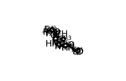 CN(c1ccc2[nH]c3ncc(-c4ccc(C(=O)NCCN5CCOCC5)cc4)c(-c4ccccc4)c3c2c1)S(=O)(=O)c1cccc(C(F)(F)F)c1